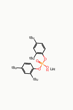 CC(C)(C)c1ccc(OP(=O)(O)Oc2ccc(C(C)(C)C)cc2C(C)(C)C)c(C(C)(C)C)c1.[LiH]